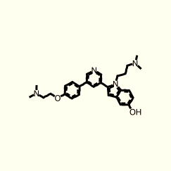 CN(C)CCCn1c(-c2cncc(-c3ccc(OCCN(C)C)cc3)c2)cc2cc(O)ccc21